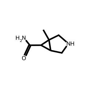 CC12CNCC1C2C(N)=O